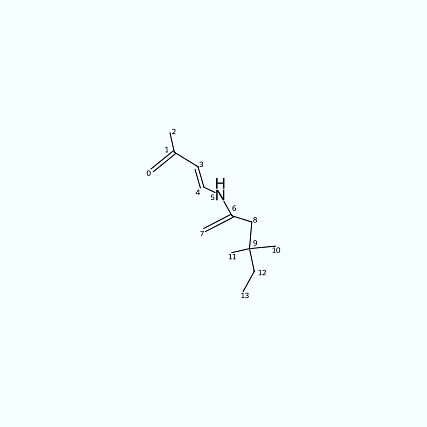 C=C(C)/C=C/NC(=C)CC(C)(C)CC